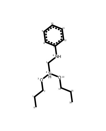 CCCO[SiH](CNc1ccccc1)OCCC